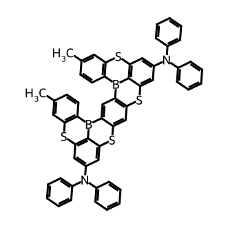 Cc1ccc2c(c1)Sc1cc(N(c3ccccc3)c3ccccc3)cc3c1B2c1cc2c(cc1S3)Sc1cc(N(c3ccccc3)c3ccccc3)cc3c1B2c1ccc(C)cc1S3